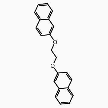 c1ccc2cc(OCCOc3ccc4ccccc4c3)ccc2c1